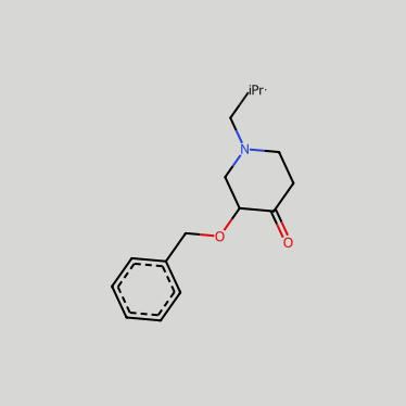 C[C](C)CN1CCC(=O)C(OCc2ccccc2)C1